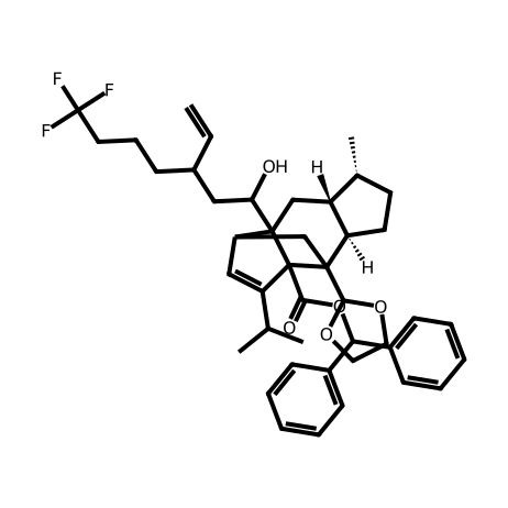 C=CC(CCCC(F)(F)F)CC(O)C12C[C@@H]3[C@H](C)CC[C@H]3C3(C4OCCO4)CC1C=C(C(C)C)C23C(=O)OC(c1ccccc1)c1ccccc1